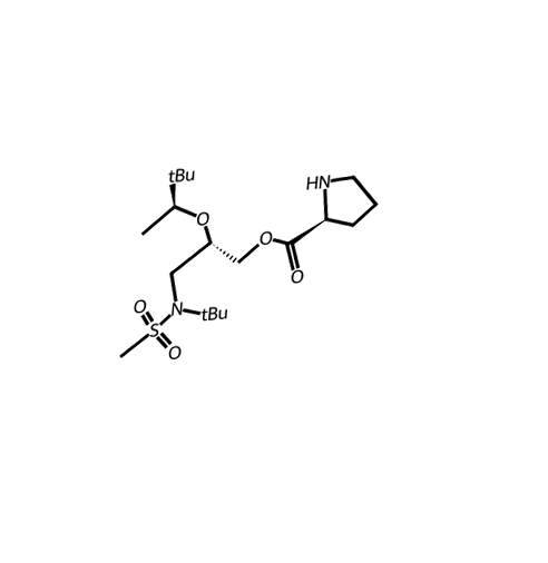 C[C@H](O[C@H](COC(=O)[C@@H]1CCCN1)CN(C(C)(C)C)S(C)(=O)=O)C(C)(C)C